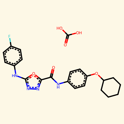 O=C(Nc1ccc(OC2CCCCC2)cc1)c1nnc(Nc2ccc(F)cc2)o1.O=C(O)O